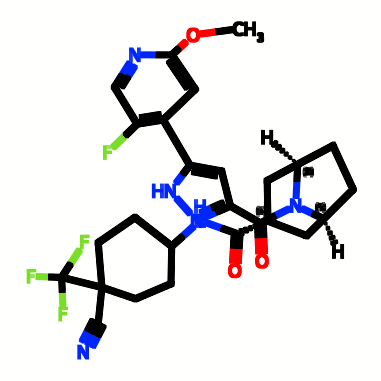 COc1cc(-c2cc(C(=O)N3[C@@H]4CC[C@H]3C[C@H](C(=O)NC3CCC(C#N)(C(F)(F)F)CC3)C4)n[nH]2)c(F)cn1